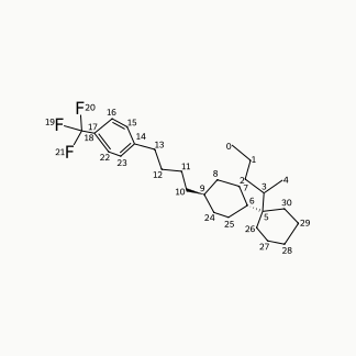 CCCC(C)C1([C@H]2CC[C@H](CCCCc3ccc(C(F)(F)F)cc3)CC2)CCCCC1